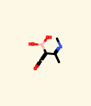 C/N=C(/C)C(=C=O)B(O)O